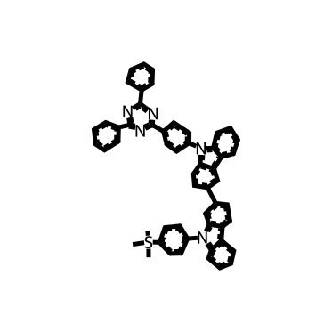 CS(C)(C)c1ccc(-n2c3ccccc3c3ccc(-c4ccc5c(c4)c4ccccc4n5-c4ccc(-c5nc(-c6ccccc6)nc(-c6ccccc6)n5)cc4)cc32)cc1